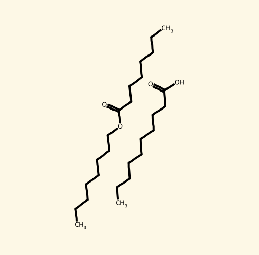 CCCCCCCCCC(=O)O.CCCCCCCCOC(=O)CCCCCCC